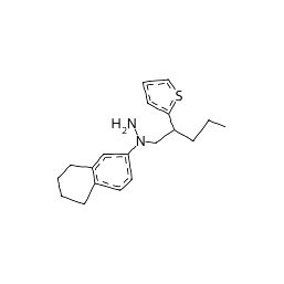 CCCC(CN(N)c1ccc2c(c1)CCCC2)c1cccs1